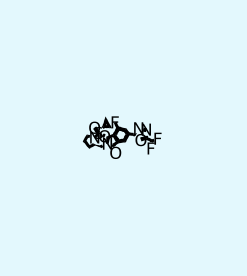 O=C1c2cc(-c3nnc(C(F)F)o3)cc(F)c2CN1C[C@H]1CCCN1S(=O)(=O)C1CC1